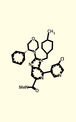 CNC(=O)c1cc2nc(N3CCOC[C@H]3c3ccccc3)n(CC3CCC(C)CC3)c2c(-c2cncc(Cl)c2)n1